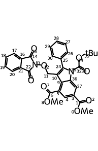 COC(=O)c1cc(C(=O)OC)c2c(CON3C(=O)c4ccccc4C3=O)c(-c3ccccc3)n(C(=O)OC(C)(C)C)c2c1